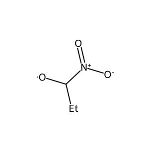 CCC([O])[N+](=O)[O-]